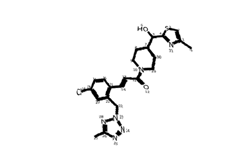 Cc1csc(C(O)C2CCN(C(=O)C=Cc3ccc(Cl)cc3Cn3nnc(C)n3)CC2)n1